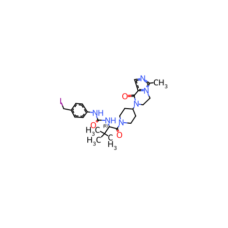 Cc1ncc2n1CCN(C1CCN(C(=O)[C@H](NC(=O)Nc3ccc(CI)cc3)C(C)(C)C)CC1)C2=O